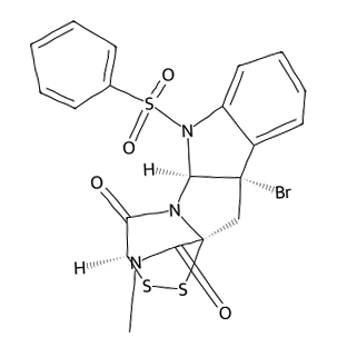 CN1C(=O)[C@@]23C[C@]4(Br)c5ccccc5N(S(=O)(=O)c5ccccc5)[C@@H]4N2C(=O)[C@@H]1SS3